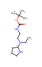 CCN(CCNC(=O)OC(C)(C)C)C1CCCN1